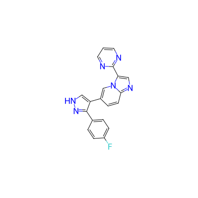 Fc1ccc(-c2n[nH]cc2-c2ccc3ncc(-c4ncccn4)n3c2)cc1